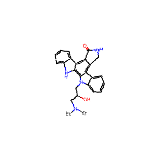 CCN(CC)CC(O)Cn1c2ccccc2c2c3c(c4c5ccccc5[nH]c4c21)C(=O)NC3